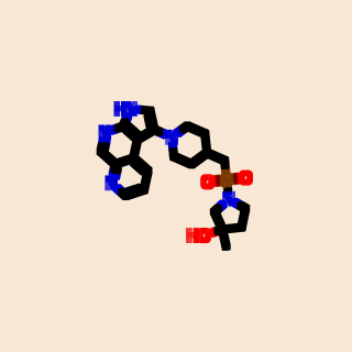 CC1(O)CCN(S(=O)(=O)CC2CCN(c3c[nH]c4ncc5ncccc5c34)CC2)C1